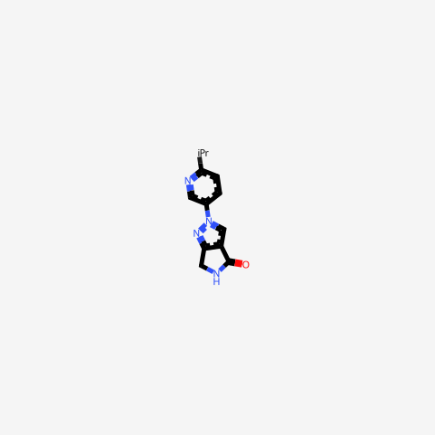 CC(C)c1ccc(-n2cc3c(n2)CNC3=O)cn1